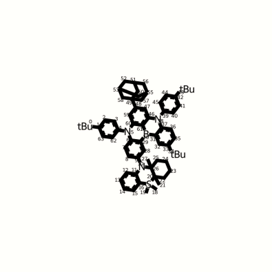 CC(C)(C)c1ccc(N2c3ccc(N4c5ccccc5S(C)(C)C5(C)CCCCC45C)cc3B3c4cc(C(C)(C)C)ccc4N(c4ccc(C(C)(C)C)cc4)c4cc(C56CC7CC(CC(C7)C5)C6)cc2c43)cc1